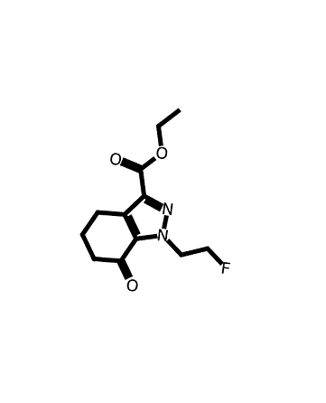 CCOC(=O)c1nn(CCF)c2c1CCCC2=O